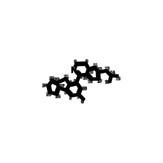 Cc1cc2c(c(-c3nccc4cc(CC(C)C)ccc34)c1)Cc1ccccc1-2